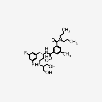 CCCN(CCC)C(=O)c1cc(C)cc(C(=O)N[C@@H](Cc2cc(F)cc(F)c2)[C@H](O)CNC(CO)CO)c1